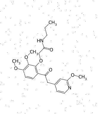 CCCNC(=O)COc1c(C(=O)Cc2ccnc(OC)c2)ccc(OC)c1OC